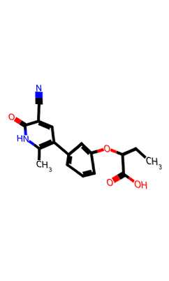 CCC(Oc1cccc(-c2cc(C#N)c(=O)[nH]c2C)c1)C(=O)O